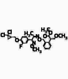 COC=C(C(=O)OC)c1ccccc1CON=C(C)C(=NOC)c1ccc(OCC2CC2(Cl)Cl)c(F)c1